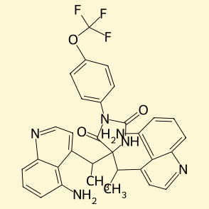 CC(c1ccnc2cccc(N)c12)C1(C(C)c2ccnc3cccc(N)c23)NC(=O)N(c2ccc(OC(F)(F)F)cc2)C1=O